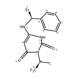 CC[C@H](Nc1cc(=O)n([C@@H](C)C(F)(F)F)c(=O)[nH]1)c1ccccc1